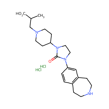 CC(CN1CCC(N2CCN(c3ccc4c(c3)CCNCC4)C2=O)CC1)C(=O)O.Cl.Cl